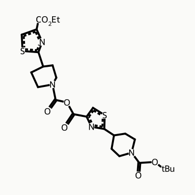 CCOC(=O)c1csc(C2CCN(C(=O)OC(=O)c3csc(C4CCN(C(=O)OC(C)(C)C)CC4)n3)CC2)n1